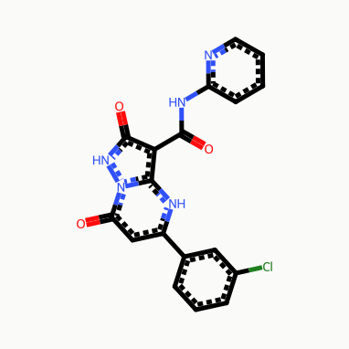 O=C(Nc1ccccn1)c1c(=O)[nH]n2c(=O)cc(-c3cccc(Cl)c3)[nH]c12